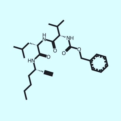 C#C[C@H](CCCC)NC(=O)[C@H](CC(C)C)NC(=O)[C@@H](NC(=O)OCc1ccccc1)C(C)C